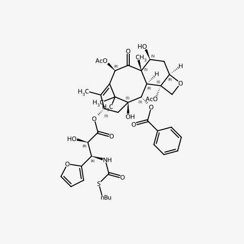 CCCCSC(=O)N[C@@H](c1ccco1)[C@@H](O)C(=O)O[C@H]1C[C@@]2(O)[C@@H](OC(=O)c3ccccc3)[C@@H]3[C@]4(OC(C)=O)CO[C@@H]4C[C@H](O)[C@@]3(C)C(=O)[C@H](OC(C)=O)C(=C1C)C2(C)C